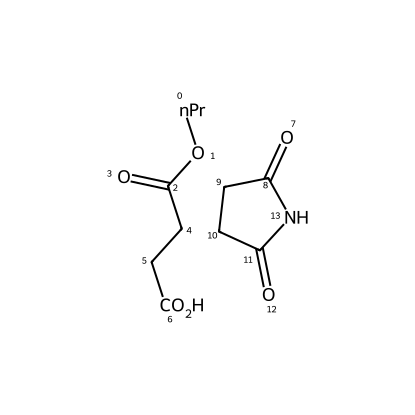 CCCOC(=O)CCC(=O)O.O=C1CCC(=O)N1